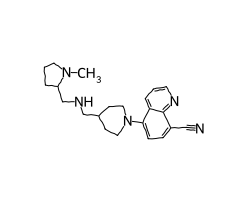 CN1CCCC1CNCC1CCN(c2ccc(C#N)c3ncccc23)CC1